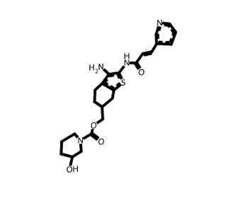 Nc1c(NC(=O)/C=C/c2cccnc2)sc2c1CCC(COC(=O)N1CCCC(O)C1)C2